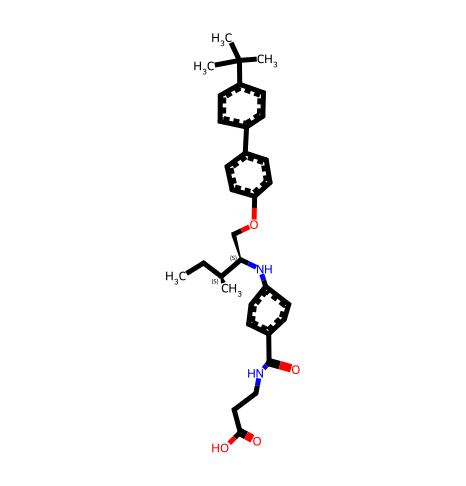 CC[C@H](C)[C@@H](COc1ccc(-c2ccc(C(C)(C)C)cc2)cc1)Nc1ccc(C(=O)NCCC(=O)O)cc1